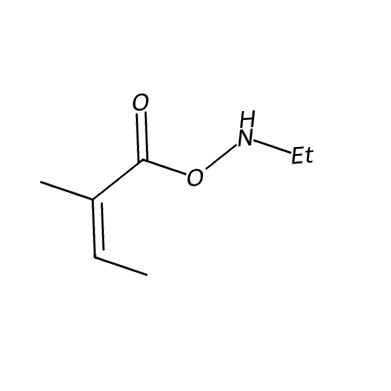 C/C=C(/C)C(=O)ONCC